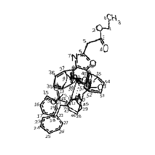 CCOC(=O)Cc1nc([N+]2(C(=O)[C@]3(Cc4ccccc4)C(Cc4ccccc4)CCN3C(=O)[O-])C3=CC=C2C=C3)c([N+]2(C(=O)[C@@H]3CCCN3C(=O)[O-])C3=CC=C2C=C3)o1